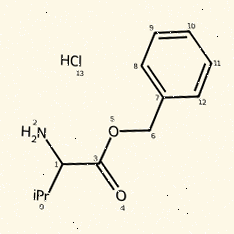 CC(C)C(N)C(=O)OCc1ccccc1.Cl